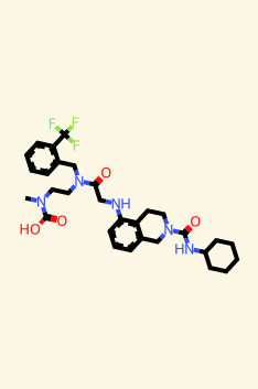 CN(CCN(Cc1ccccc1C(F)(F)F)C(=O)CNc1cccc2c1CCN(C(=O)NC1CCCCC1)C2)C(=O)O